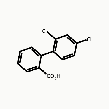 O=C(O)c1ccccc1-c1ccc(Cl)cc1Cl